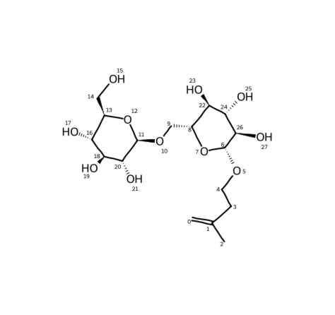 C=C(C)CCO[C@@H]1O[C@H](CO[C@@H]2O[C@H](CO)[C@@H](O)[C@H](O)[C@H]2O)[C@@H](O)[C@H](O)[C@H]1O